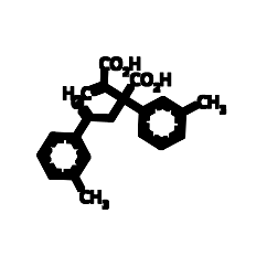 C=C(C(=O)O)C(CC(=O)c1cccc(C)c1)(C(=O)O)c1cccc(C)c1